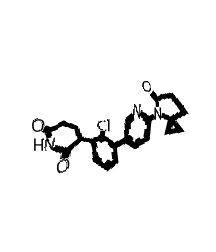 O=C1CCC(c2cccc(-c3ccc(N4C(=O)CCC45CC5)nc3)c2Cl)C(=O)N1